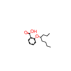 CCCCC(CCC)Oc1ccccc1C(=O)O